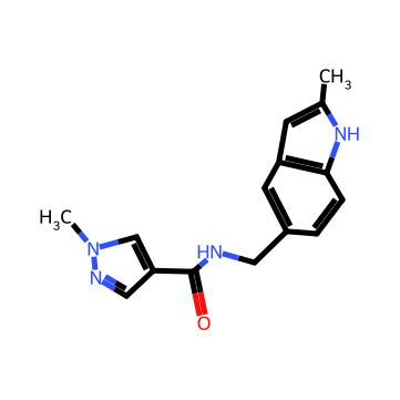 Cc1cc2cc(CNC(=O)c3cnn(C)c3)ccc2[nH]1